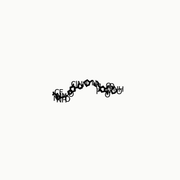 CC(C)(c1n[nH]c(CNC(=O)[C@H]2Cc3cc(Cl)c(-c4ccc(N5CCC(CN6CCN(c7cc8c(cc7F)C(=O)N(C7CCC(=O)NC7=O)C8=O)CC6)CC5)nc4)cc3O2)n1)C(F)(F)F